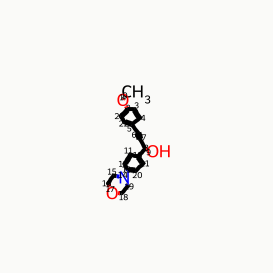 COc1ccc(C#CC(O)c2ccc(N3CCOCC3)cc2)cc1